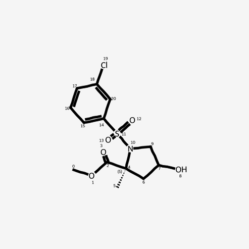 COC(=O)[C@]1(C)CC(O)CN1S(=O)(=O)c1cccc(Cl)c1